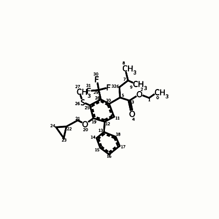 CCOC(=O)C(CC(C)C)c1cc(-c2ccccc2)c(OCC2CC2)c(SC)c1C(F)(F)F